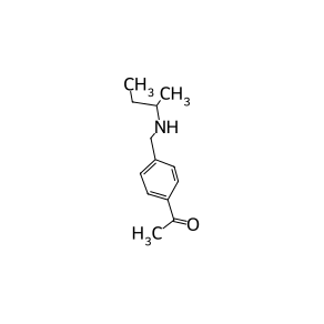 CCC(C)NCc1ccc(C(C)=O)cc1